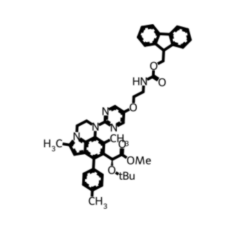 COC(=O)[C@@H](OC(C)(C)C)c1c(C)c2c3c(cc(C)n3CCN2c2ncc(OCCNC(=O)OCC3c4ccccc4-c4ccccc43)cn2)c1-c1ccc(C)cc1